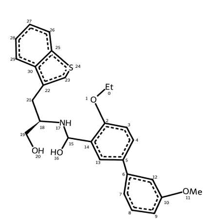 CCOc1ccc(-c2cccc(OC)c2)cc1C(O)N[C@@H](CO)Cc1csc2ccccc12